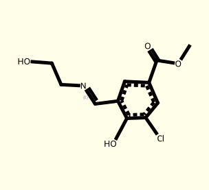 COC(=O)c1cc(Cl)c(O)c(/C=N/CCO)c1